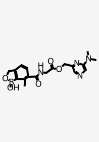 Cc1c(C(=O)NCC(=O)OCc2cncc(N(C)C)n2)ccc2c1B(O)OC2